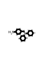 NC1CCC(CN(C2CCCCC2)C2CCCCC2)CC1